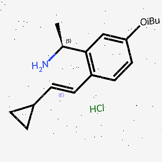 CC(C)COc1ccc(/C=C/C2CC2)c([C@H](C)N)c1.Cl